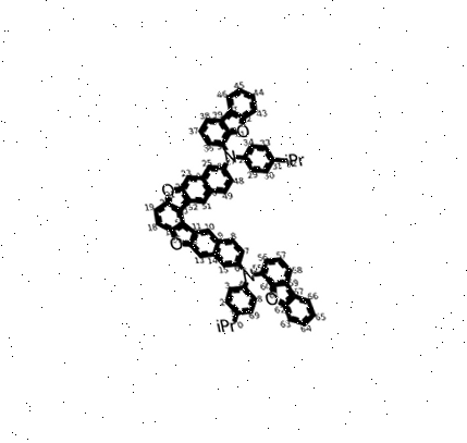 CC(C)c1ccc(N(c2ccc3cc4c(cc3c2)oc2ccc3oc5cc6cc(N(c7ccc(C(C)C)cc7)c7cccc8c7oc7ccccc78)ccc6cc5c3c24)c2cccc3c2oc2ccccc23)cc1